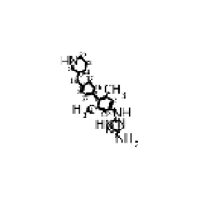 Cc1cc(Nc2nc(N)n[nH]2)cc(C)c1-c1ccc(CC2CCCNC2)cc1